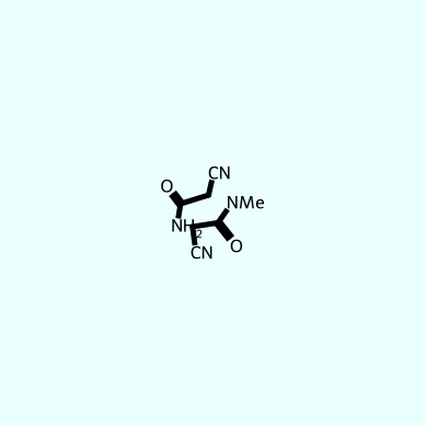 CNC(=O)CC#N.N#CCC(N)=O